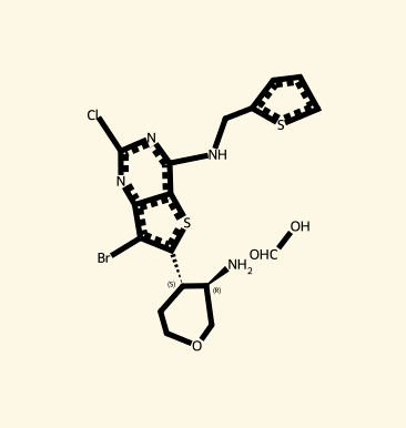 N[C@H]1COCC[C@@H]1c1sc2c(NCc3cccs3)nc(Cl)nc2c1Br.O=CO